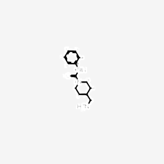 NCC1CCN(C(=O)Nc2ccccc2)CC1